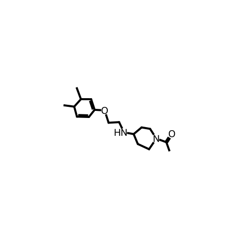 CC(=O)N1CCC(NCCOC2=CC(C)C(C)C=C2)CC1